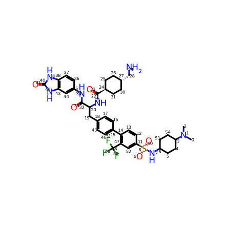 CN(C)C1CCC(NS(=O)(=O)c2ccc(-c3ccc(CC(NC(=O)[C@H]4CC[C@H](CN)CC4)C(=O)Nc4ccc5[nH]c(=O)[nH]c5c4)cc3)c(C(F)(F)F)c2)CC1